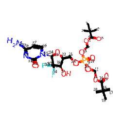 CC(C)(C)C(=O)OCOP(=O)(OCOC(=O)C(C)(C)C)OCC1O[C@@H](n2ccc(N)nc2=O)C(F)(F)[C@@H]1O